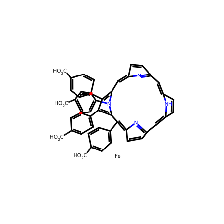 O=C(O)c1ccc(-c2c(-c3ccc(C(=O)O)cc3)c3c(-c4ccc(C(=O)O)cc4)c4nc(cc5ccc(cc6nc(cc2n3-c2ccc(C(=O)O)cc2)C=C6)[nH]5)C=C4)cc1.[Fe]